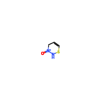 O=[N+]1CC=CSN1